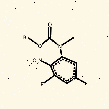 CN(C(=O)OC(C)(C)C)c1cc(F)cc(F)c1[N+](=O)[O-]